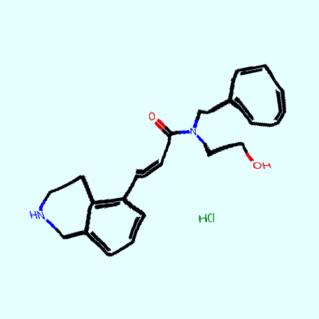 Cl.O=C(/C=C/c1cccc2c1CCNC2)N(CCO)Cc1ccccc1